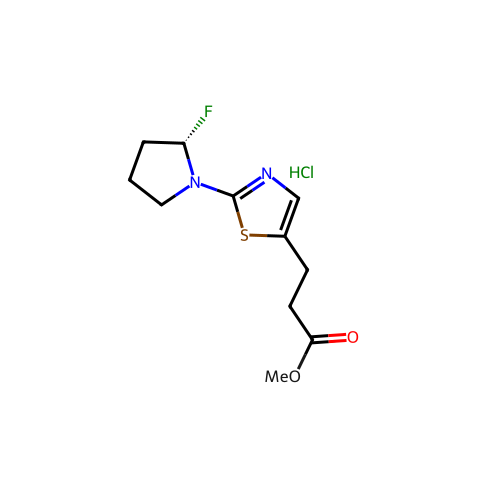 COC(=O)CCc1cnc(N2CCC[C@@H]2F)s1.Cl